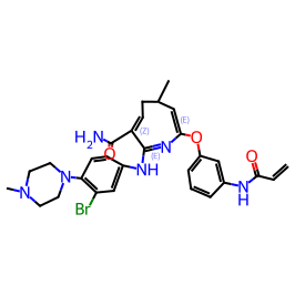 C=CC(=O)Nc1cccc(OC2=C/C(C)C/C=C(C(N)=O)/C(Nc3ccc(N4CCN(C)CC4)c(Br)c3)=N\2)c1